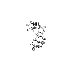 O=C1CCC(N2Cc3c(cccc3N3CC4CCC3CN4)C2=O)C(=O)N1